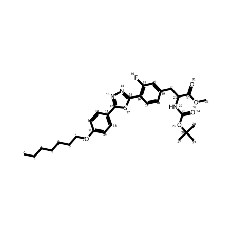 CCCCCCCOc1ccc(-c2nnc(-c3ccc(CC(NC(=O)OC(C)(C)C)C(=O)OC)cc3F)s2)cc1